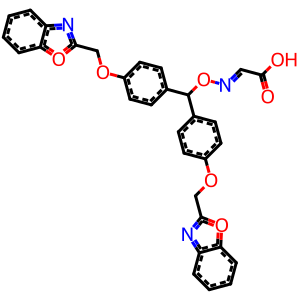 O=C(O)C=NOC(c1ccc(OCc2nc3ccccc3o2)cc1)c1ccc(OCc2nc3ccccc3o2)cc1